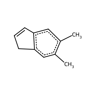 Cc1cc2c(cc1C)CC=C2